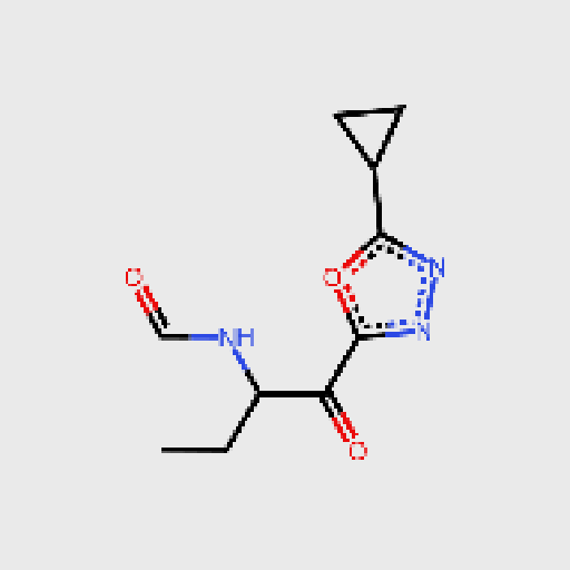 CCC(NC=O)C(=O)c1nnc(C2CC2)o1